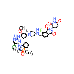 COc1cc(N2CCC(NCc3ccc4c(c3F)C(=O)N(C3CCC(=O)NC3=O)C4=O)CC2)ccc1Nc1ncc(Cl)c(Nc2ccccc2P(C)(C)=O)n1